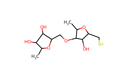 CC1OC(COC2C(C)OC(CS)C2O)C(O)C1O